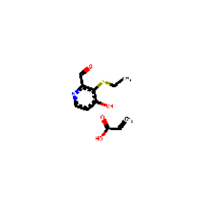 C=CC(=O)O.CCSc1c(O)ccnc1C=O